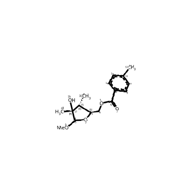 COC1O[C@H](COC(=O)c2ccc(C)cc2)[C@@H](C)[C@@]1(C)O